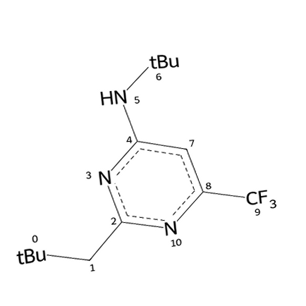 CC(C)(C)Cc1nc(NC(C)(C)C)cc(C(F)(F)F)n1